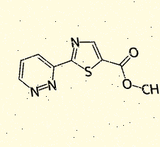 COC(=O)c1cnc(-c2cccnn2)s1